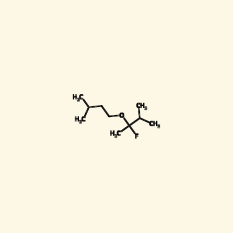 CC(C)CCOC(C)(F)C(C)C